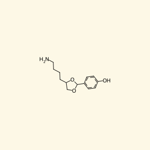 NCCCCC1COC(c2ccc(O)cc2)O1